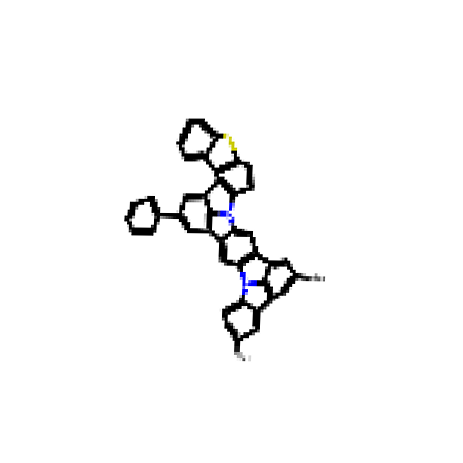 CC(C)(C)c1ccc2c(c1)c1cc(C(C)(C)C)cc3c4cc5c(cc4n2c13)c1cc(-c2ccccc2)cc2c3c4c(ccc3n5c12)sc1ccccc14